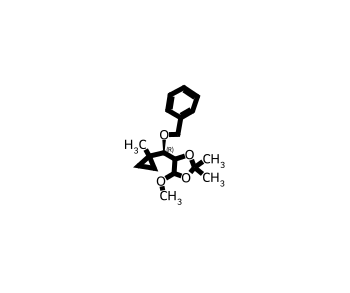 COC1OC(C)(C)OC1[C@H](OCc1ccccc1)C1(C)CC1